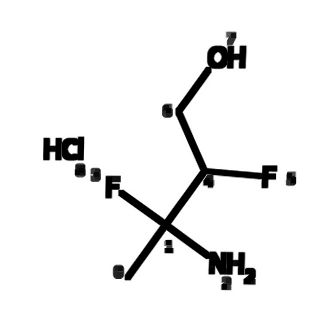 CC(N)(F)C(F)CO.Cl